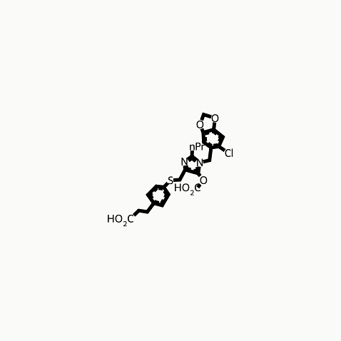 CCCc1nc(CSc2ccc(CCC(=O)O)cc2)c(OC(=O)O)n1Cc1cc2c(cc1Cl)OCO2